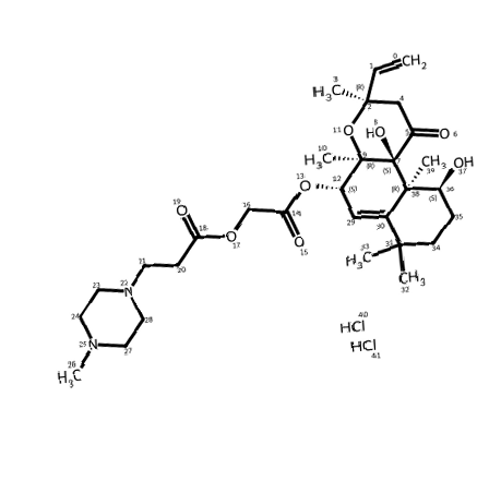 C=C[C@@]1(C)CC(=O)[C@@]2(O)[C@](C)(O1)[C@@H](OC(=O)COC(=O)CCN1CCN(C)CC1)C=C1C(C)(C)CC[C@H](O)[C@@]12C.Cl.Cl